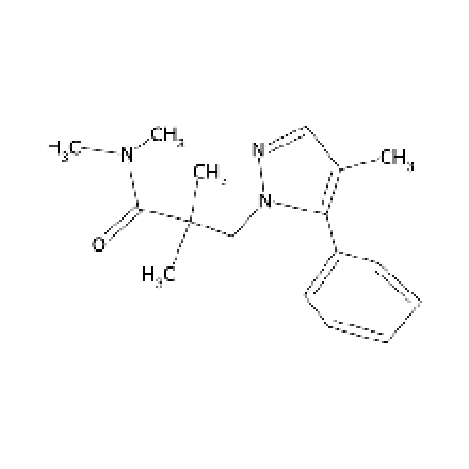 Cc1cnn(CC(C)(C)C(=O)N(C)C)c1-c1ccccc1